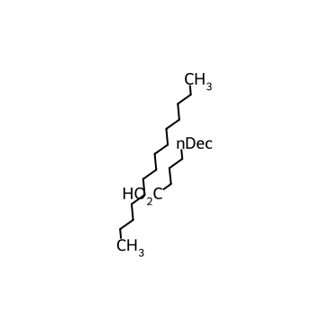 CCCCCCCCCCCCCC.CCCCCCCCCCCCCC(=O)O